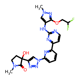 CN1CCC(O)(c2cn(-c3cccc(-c4ccnc(Nc5cn(C)nc5OCC(F)F)n4)n3)nn2)C1=O